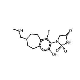 CNC[C@@H]1CCc2cc(O)c(N3CC(=O)NS3(=O)=O)c(F)c2CC1